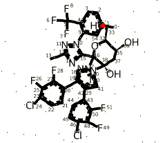 Cc1ccc(C(F)(F)F)c(-n2nc(C)nc2C2(n3cc(-c4ccc(Cl)c(F)c4F)cn3)O[C@@H](CO)[C@@H](O)C[C@@]2(O)n2cc(-c3ccc(Cl)c(F)c3F)cn2)c1